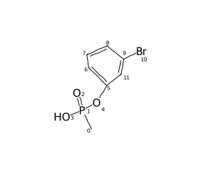 CP(=O)(O)Oc1cccc(Br)c1